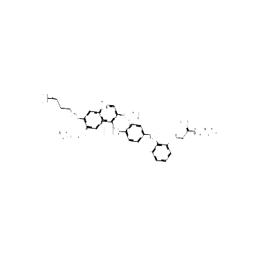 CNC(=O)COc1ccccc1Oc1ccc(Nc2c(C#N)cnc3cc(OCCCCl)c(OC)cc23)cc1